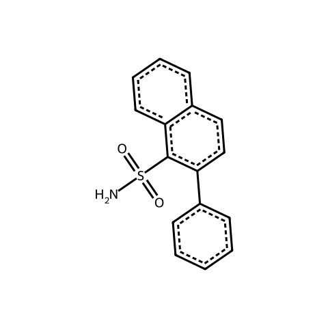 NS(=O)(=O)c1c(-c2ccccc2)ccc2ccccc12